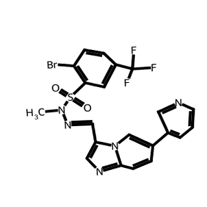 CN(/N=C/c1cnc2ccc(-c3cccnc3)cn12)S(=O)(=O)c1cc(C(F)(F)F)ccc1Br